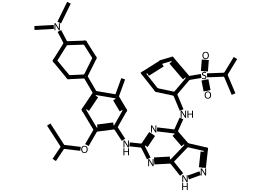 Cc1cc(Nc2nc(NC3CC=CC=C3S(=O)(=O)C(C)C)c3cn[nH]c3n2)c(OC(C)C)cc1C1CCC(N(C)C)CC1